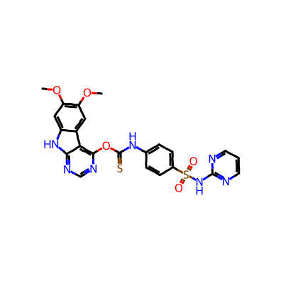 COc1cc2[nH]c3ncnc(OC(=S)Nc4ccc(S(=O)(=O)Nc5ncccn5)cc4)c3c2cc1OC